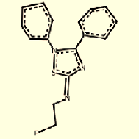 FCCN=c1nc(-c2ccccc2)n(-c2ccccc2)s1